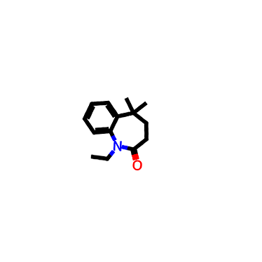 CCN1C(=O)CCC(C)(C)c2ccccc21